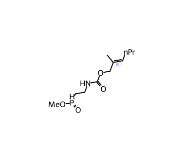 CCC/C=C(\C)COC(=O)NCC[PH](=O)OC